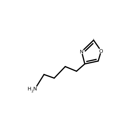 NCCCCc1co[c]n1